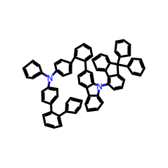 c1ccc(-c2ccccc2-c2ccc(N(c3ccccc3)c3ccc(-c4ccccc4-c4ccc5c6ccccc6n(-c6cccc7c6-c6ccccc6C7(c6ccccc6)c6ccccc6)c5c4)cc3)cc2)cc1